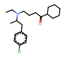 CCN(CCCC(=O)C1CCCCC1)C(C)Cc1ccc(Cl)cc1